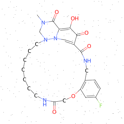 CN1CN2CCCCCCCNC(=O)COc3cc(F)ccc3CNC(=O)c3cn2c(c(O)c3=O)C1=O